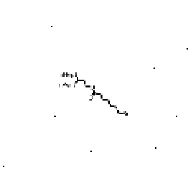 CCCCCCCC(CCCCC)CCOC(=O)CCCCCCBr